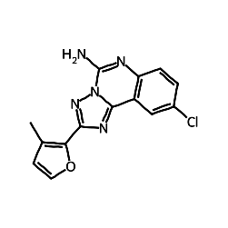 Cc1ccoc1-c1nc2c3cc(Cl)ccc3nc(N)n2n1